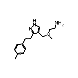 Cc1ccc(CCc2n[nH]cc2CN(C)CCN)cc1